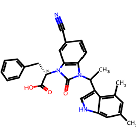 Cc1cc(C)c2c(C(C)n3c(=O)n([C@@H](Cc4ccccc4)C(=O)O)c4cc(C#N)ccc43)c[nH]c2c1